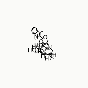 CC1=C[C@]23C(O)[C@@H](C=C(CO)[C@@H](O)[C@]2(O)[C@H]1OC(=O)c1c(C)c2ccccc2n1C)[C@H]1[C@@H](C[C@H]3C)C1(C)C